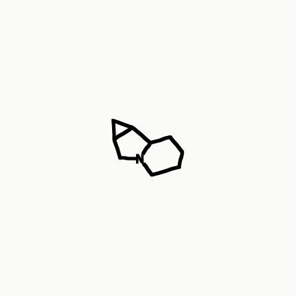 C1CCN2CC3CC3C2C1